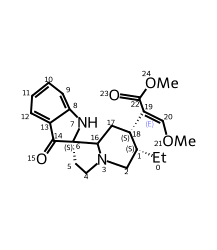 CC[C@@H]1CN2CC[C@]3(Nc4ccccc4C3=O)C2C[C@@H]1/C(=C\OC)C(=O)OC